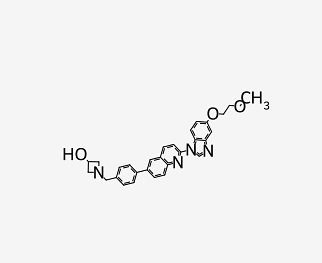 COCCOc1ccc2c(c1)ncn2-c1ccc2cc(-c3ccc(CN4CC(O)C4)cc3)ccc2n1